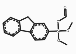 CO[Si](OC)(OC=O)c1ccc2c(c1)Cc1ccccc1-2